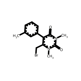 Cc1cccc(-c2c(CBr)n(C)c(=O)n(C)c2=O)c1